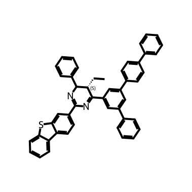 CC[C@@H]1C(c2cc(-c3ccccc3)cc(-c3ccc(-c4ccccc4)cc3)c2)=NC(c2ccc3c(c2)sc2ccccc23)=NC1c1ccccc1